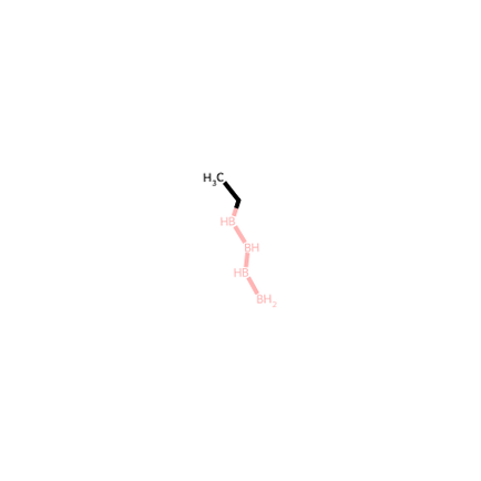 BBBBCC